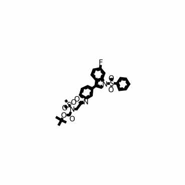 CC(C)(C)OC(=O)N(Cc1nc2cc(-c3cn(S(=O)(=O)c4ccccc4)c4cc(F)ccc34)ccc2o1)S(C)(=O)=O